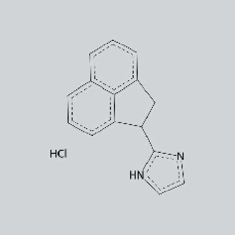 Cl.c1cc2c3c(cccc3c1)C(c1ncc[nH]1)C2